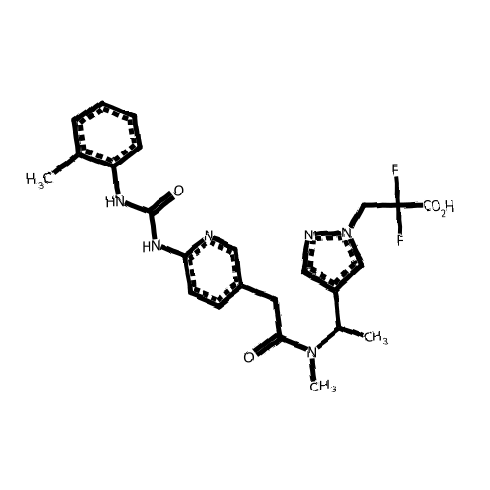 Cc1ccccc1NC(=O)Nc1ccc(CC(=O)N(C)C(C)c2cnn(CC(F)(F)C(=O)O)c2)cn1